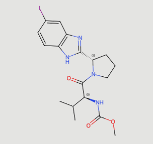 COC(=O)N[C@H](C(=O)N1CCC[C@H]1c1nc2cc(I)ccc2[nH]1)C(C)C